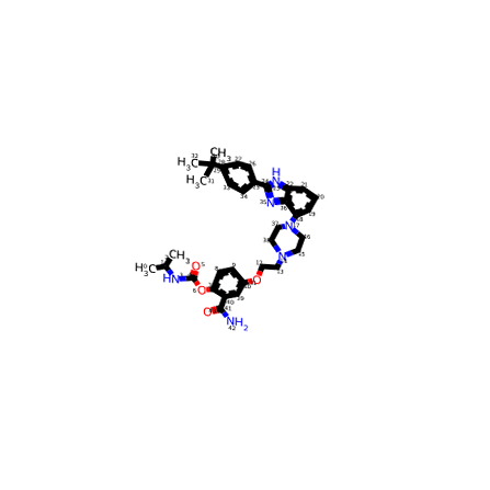 CC(C)NC(=O)Oc1ccc(OCCN2CCN(c3cccc4[nH]c(-c5ccc(C(C)(C)C)cc5)nc34)CC2)cc1C(N)=O